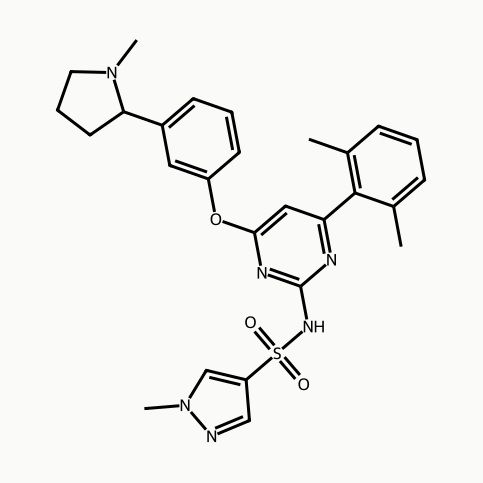 Cc1cccc(C)c1-c1cc(Oc2cccc(C3CCCN3C)c2)nc(NS(=O)(=O)c2cnn(C)c2)n1